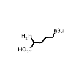 CCCCCCC[CH]([InH2])C(=O)O